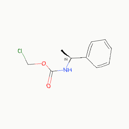 C[C@H](NC(=O)OCCl)c1ccccc1